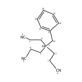 N#CCC[PH](CCC#N)(CCC#N)Cc1ccccc1